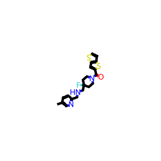 Cc1ccc(CNCC2(F)CCN(C(=O)c3cc4sccc4s3)CC2)nc1